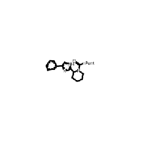 CCCCCC(=O)N1CCCCC1c1nc(-c2ccccc2)c[nH]1